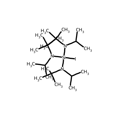 CC(C)N(C(C)(C)C)[Si](I)(N(C(C)C)C(C)(C)C)N(C(C)C)C(C)(C)C